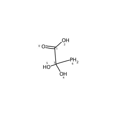 O=C(O)C(O)(O)P